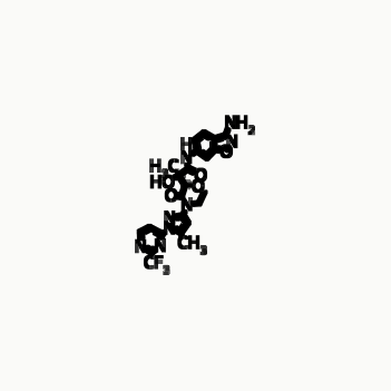 Cc1cc(N2CCO[C@H]([C@@](C)(O)C(=O)Nc3ccc4c(N)noc4c3)C2=O)nn1-c1ccnc(C(F)(F)F)n1